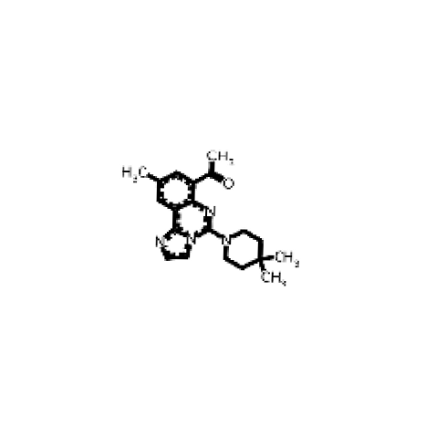 CC(=O)c1cc(C)cc2c1nc(N1CCC(C)(C)CC1)n1ccnc21